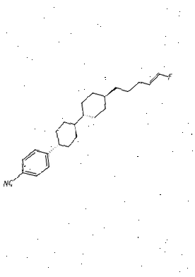 N#Cc1ccc([C@H]2CC[C@H]([C@H]3CC[C@H](CCCC=CF)CC3)CC2)cc1